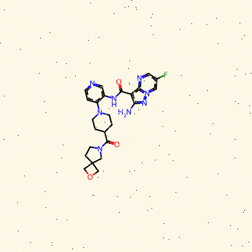 Nc1nn2cc(F)cnc2c1C(=O)Nc1cnccc1N1CCC(C(=O)N2CCC3(COC3)C2)CC1